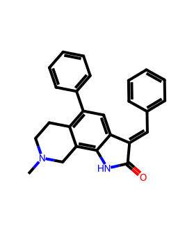 CN1CCc2c(-c3ccccc3)cc3c(c2C1)NC(=O)/C3=C/c1ccccc1